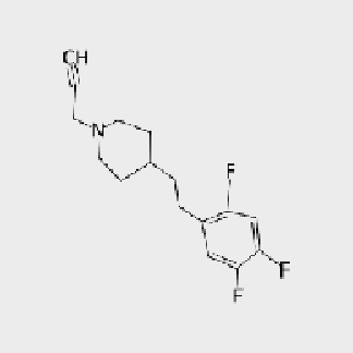 C#CCN1CCC(CCc2cc(F)c(F)cc2F)CC1